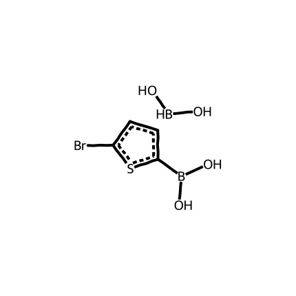 OB(O)c1ccc(Br)s1.OBO